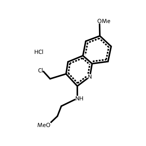 COCCNc1nc2ccc(OC)cc2cc1CCl.Cl